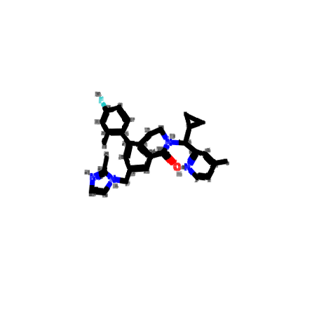 Cc1ccnc(C(C2CC2)N2CCc3c(cc(Cn4ccnc4C)cc3-c3ccc(F)cc3C)C2=O)c1